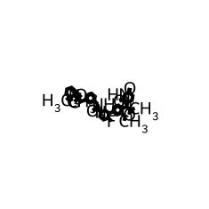 CCc1cc(C2CN(C(=O)Nc3cccc(CS(=O)(=O)N4CCCCC4(C)C)c3)CCC2F)ccc1N(C(C)=O)C1CCC(=O)NC1=O